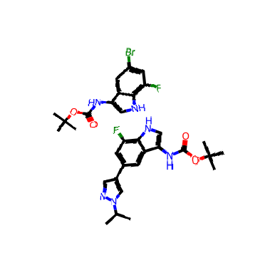 CC(C)(C)OC(=O)Nc1c[nH]c2c(F)cc(Br)cc12.CC(C)n1cc(-c2cc(F)c3[nH]cc(NC(=O)OC(C)(C)C)c3c2)cn1